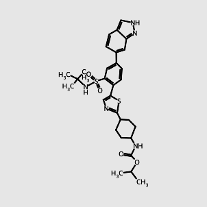 CC(C)OC(=O)NC1CCC(c2ncc(-c3ccc(-c4ccc5c[nH]nc5c4)cc3S(=O)(=O)NC(C)(C)C)s2)CC1